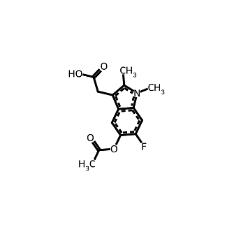 CC(=O)Oc1cc2c(CC(=O)O)c(C)n(C)c2cc1F